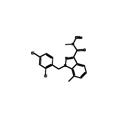 CON(C)C(=O)c1nn(Cc2ccc(Cl)cc2Cl)c2c(C)cccc12